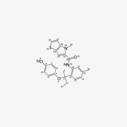 CCC(C)(Oc1ccc(O)cc1)c1ccc(C)cc1NC(=O)c1cc2sccc2n1C